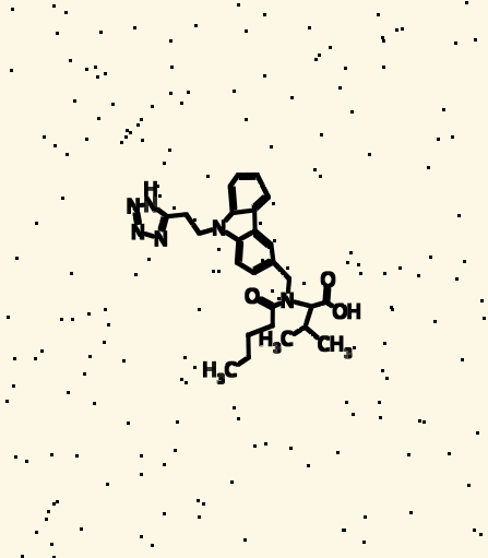 CCCCC(=O)N(Cc1ccc2c(c1)c1ccccc1n2CCc1nnn[nH]1)C(C(=O)O)C(C)C